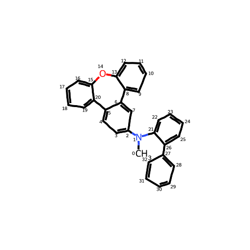 CN(c1ccc2c(c1)-c1ccccc1Oc1ccccc1-2)c1ccccc1-c1ccccc1